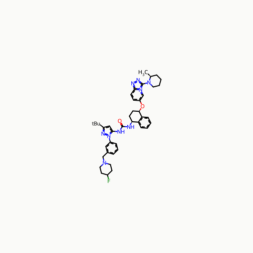 C[C@H]1CCCCN1c1nnc2ccc(O[C@@H]3CC[C@H](NC(=O)Nc4cc(C(C)(C)C)nn4-c4cccc(CN5CCC(F)CC5)c4)c4ccccc43)cn12